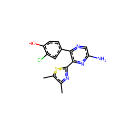 Cc1nc(-c2nc(N)cnc2-c2ccc(O)c(Cl)c2)sc1C